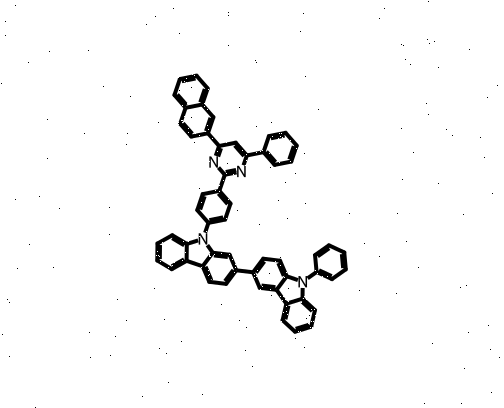 c1ccc(-c2cc(-c3ccc4ccccc4c3)nc(-c3ccc(-n4c5ccccc5c5ccc(-c6ccc7c(c6)c6ccccc6n7-c6ccccc6)cc54)cc3)n2)cc1